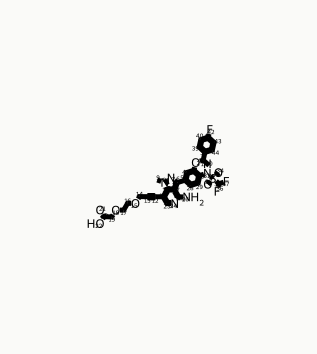 CC(Oc1cc(-c2nn(C)c3c(C#CCOCCOCC(=O)O)cnc(N)c23)ccc1NS(=O)(=O)C(F)F)c1ccc(F)cc1